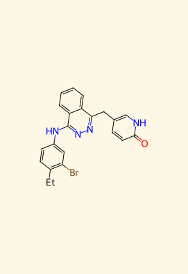 CCc1ccc(Nc2nnc(Cc3ccc(=O)[nH]c3)c3ccccc23)cc1Br